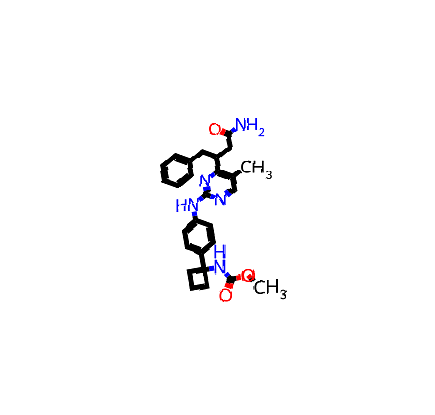 COC(=O)NC1(c2ccc(Nc3ncc(C)c(C(CC(N)=O)Cc4ccccc4)n3)cc2)CCC1